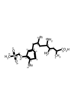 CC(CC(O)C(N)CC(Cc1ccc(C(C)(C)C)c(OCS(C)(=O)=O)c1)C(C)C)C(=O)O